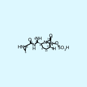 N=C(NC(=O)C1CN1)[C@@H]1CC[C@@H]2CN1C(=O)N2OS(=O)(=O)O